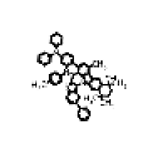 Cc1ccc(N2B3c4sc5ccc(-c6ccccc6)cc5c4-n4c5cc6c(cc5c5c(C)cc(c3c54)-c3ccc(N(c4ccccc4)c4ccccc4)cc32)C(C)(C)CCC6(C)C)cc1